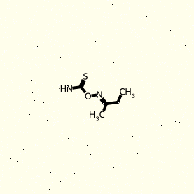 CCC(C)=NOC([NH])=S